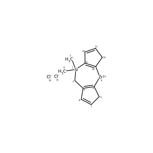 C[Si]1(C)CC2=[C](CC=C2)[Zr+2][C]2=C1C=CC2.[Cl-].[Cl-]